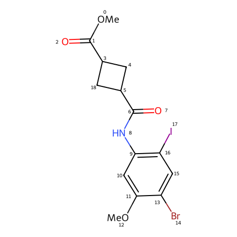 COC(=O)C1CC(C(=O)Nc2cc(OC)c(Br)cc2I)C1